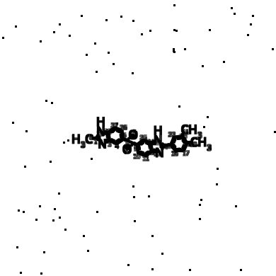 Cc1nc2cc(S(=O)(=O)c3ccc4nc(-c5ccc(C)c(C)c5)[nH]c4c3)ccc2[nH]1